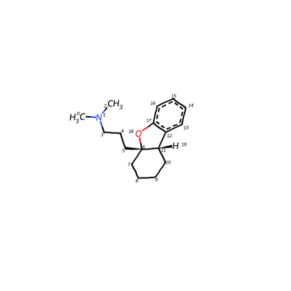 CN(C)CCC[C@]12CCCC[C@H]1c1ccccc1O2